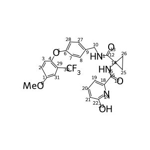 COc1ccc(Oc2ccc(CNC(=O)C3(NC(=O)c4cccc(O)n4)CC3)cc2)c(C(F)(F)F)c1